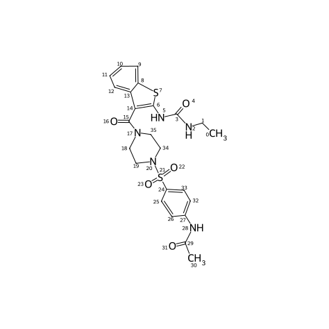 CCNC(=O)Nc1sc2ccccc2c1C(=O)N1CCN(S(=O)(=O)c2ccc(NC(C)=O)cc2)CC1